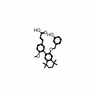 COc1ccc(/C=C/C(=O)O)cc1-c1cc2c(cc1OCc1cccc(O)c1)C(C)(C)CCC2(C)C